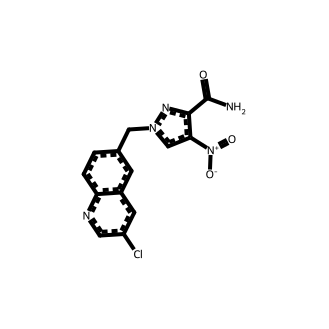 NC(=O)c1nn(Cc2ccc3ncc(Cl)cc3c2)cc1[N+](=O)[O-]